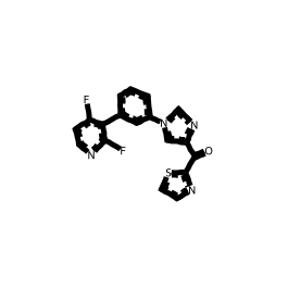 O=C(c1cn(-c2cccc(-c3c(F)ccnc3F)c2)cn1)c1nccs1